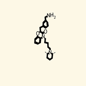 C[C@@H]1CCC[C@H](C)N1CCCCCN1C(=O)C(Cc2cccc(CN)c2)Oc2ccccc21